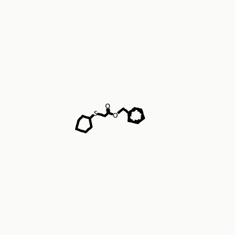 O=C(CSC1CCCCC1)OCc1ccccc1